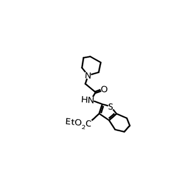 CCOC(=O)c1c(NC(=O)CN2CCCCC2)sc2c1CCCC2